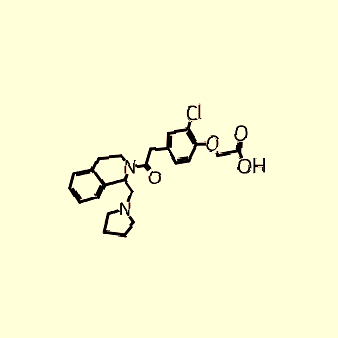 O=C(O)COc1ccc(CC(=O)N2CCc3ccccc3C2CN2CCCC2)cc1Cl